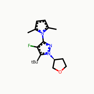 Cc1ccc(C)n1-c1nn([C@H]2CCOC2)c(C(C)(C)C)c1F